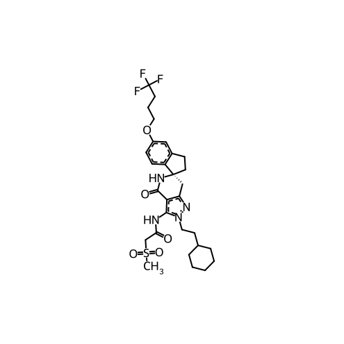 CS(=O)(=O)CC(=O)Nc1c2c(nn1CCC1CCCCC1)C[C@]1(CCc3cc(OCCCC(F)(F)F)ccc31)NC2=O